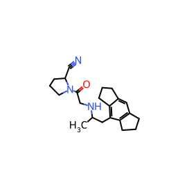 CC(Cc1c2c(cc3c1CCC3)CCC2)NCC(=O)N1CCCC1C#N